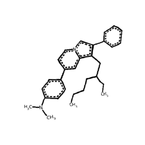 CCCCC(CC)Cc1c(-c2ccccc2)cn2ccc(-c3ccc(N(C)C)cc3)cc12